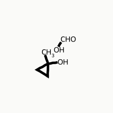 CC1(O)CC1.O=CO